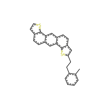 Cc1ccccc1CCc1cc2ccc3cc4c(ccc5ccsc54)cc3c2s1